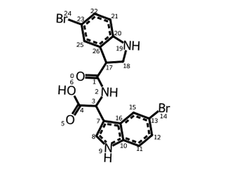 O=C(NC(C(=O)O)c1c[nH]c2ccc(Br)cc12)C1CNc2ccc(Br)cc21